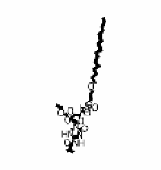 CCCCCCCCCCCCCCCCOCCCO[PH](=O)OC[C@H]1O[C@@H](N2CNC(NC(=O)C(C)C)=NC2=O)C2OC(OCC)OC21